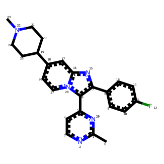 Cc1nccc(-c2c(-c3ccc(F)cc3)nc3cc(C4CCN(C)CC4)ccn23)n1